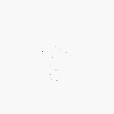 Cc1c(Cc2ccccc2)c(C(=O)O)c(N)c(C(=O)O)c1C(=O)O